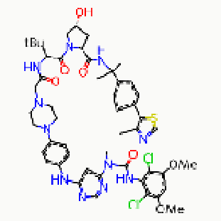 COc1cc(OC)c(Cl)c(NC(=O)N(C)c2cc(Nc3ccc(N4CCN(CC(=O)N[C@H](C(=O)N5C[C@H](O)C[C@H]5C(=O)NC(C)(C)c5ccc(-c6scnc6C)cc5)C(C)(C)C)CC4)cc3)ncn2)c1Cl